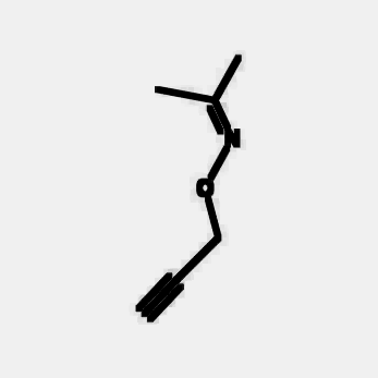 C#CCON=C(C)C